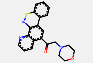 O=C(CN1CCOCC1)c1cc2c(c3ncccc13)NSc1ccccc1-2